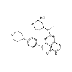 CN(c1nc(Nc2ccc(N3CCOCC3)cc2)c2c(=O)[nH]ccc2n1)C1CCNCC1.Cl